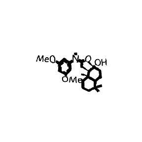 COc1cc(OC)cc(N(C)C(=O)C[C@@H]2[C@@]3(C)CCCC(C)(C)C3CC[C@@]2(C)O)c1